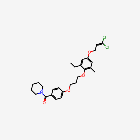 CCc1cc(OCC=C(Cl)Cl)cc(C)c1OCCCOc1ccc(C(=O)N2CCCCC2)cc1